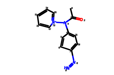 CC(=O)N(c1ccc(N=N)cc1)[n+]1ccccc1